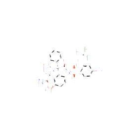 COc1ccc(S(=O)(=O)N2C(=O)C(NC(C)(C)C(=O)N(C)C)(c3ccccc3OC)c3cc(Cl)ccc32)c(OC(F)(F)F)c1